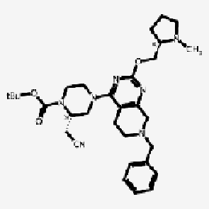 CN1CCC[C@@H]1COc1nc2c(c(N3CCN(C(=O)OC(C)(C)C)[C@@H](CC#N)C3)n1)CCN(Cc1ccccc1)C2